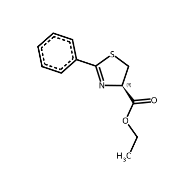 CCOC(=O)[C@@H]1CSC(c2ccccc2)=N1